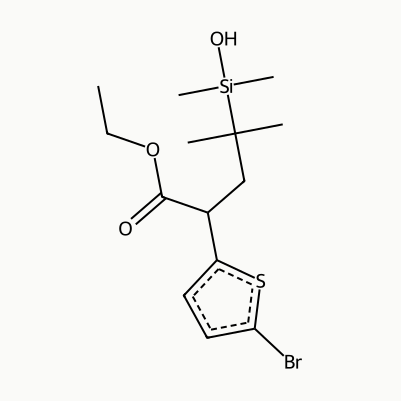 CCOC(=O)C(CC(C)(C)[Si](C)(C)O)c1ccc(Br)s1